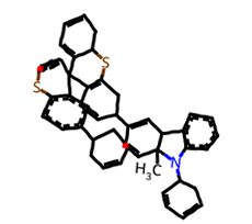 CC12C=CC(C3C=CC4=C(C3)SC3CC=CC=C3C43c4ccccc4Sc4ccc(C5CC=CCC5)cc43)=CC1c1ccccc1N2C1C=CC=CC1